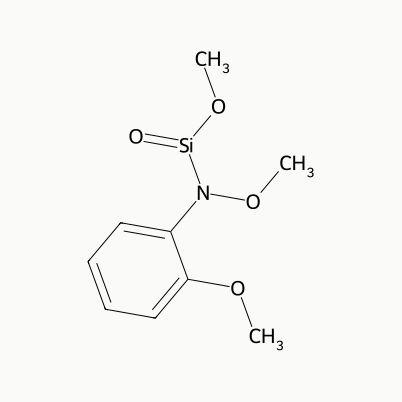 COc1ccccc1N(OC)[Si](=O)OC